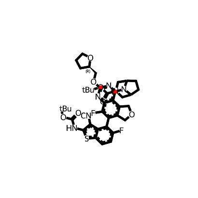 CC(C)(C)OC(=O)Nc1sc2ccc(F)c(-c3c4c(c5c(N6C7CCC6CN(C(=O)OC(C)(C)C)C7)nc(OC[C@H]6CCCO6)nc5c3F)COC4)c2c1C#N